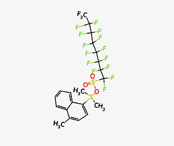 Cc1ccc(S(C)(C)OS(=O)(=O)C(F)(F)C(F)(F)C(F)(F)C(F)(F)C(F)(F)C(F)(F)C(F)(F)C(F)(F)F)c2ccccc12